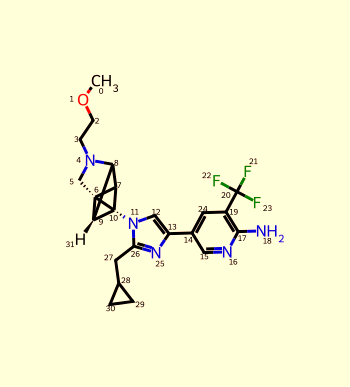 COCCN1C[C@@]23C4C1[C@@H]2[C@]43n1cc(-c2cnc(N)c(C(F)(F)F)c2)nc1CC1CC1